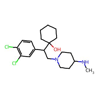 CNC1CCN(CC(c2ccc(Cl)c(Cl)c2)C2(O)CCCCC2)CC1